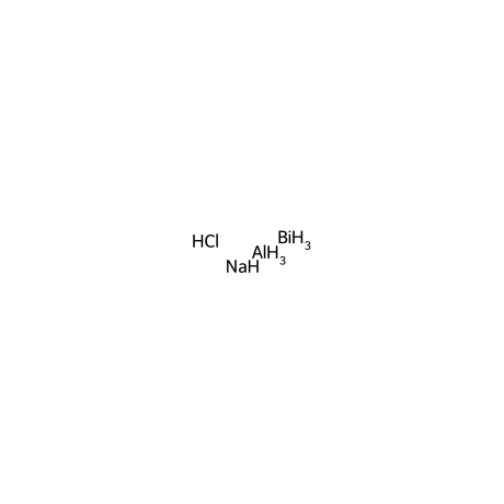 Cl.[AlH3].[BiH3].[NaH]